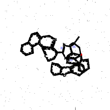 C\C1=C(c2ccc3ccccc3c2)/N=C(c2cccc3c2ncc2ccc4ccccc4c23)\N=C(\c2cccc3oc4ccccc4c23)CC1